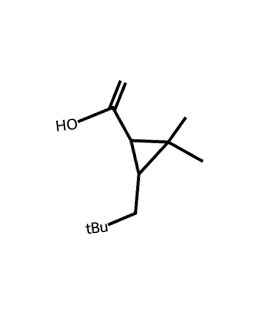 C=C(O)C1C(CC(C)(C)C)C1(C)C